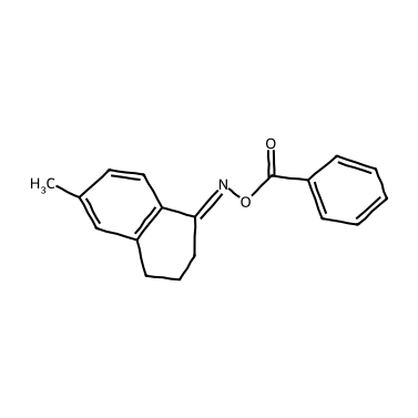 Cc1ccc2c(c1)CCC/C2=N\OC(=O)c1ccccc1